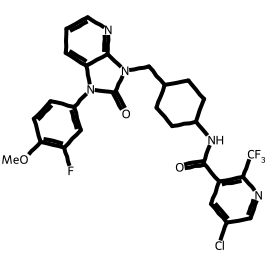 COc1ccc(-n2c(=O)n(CC3CCC(NC(=O)c4cc(Cl)cnc4C(F)(F)F)CC3)c3ncccc32)cc1F